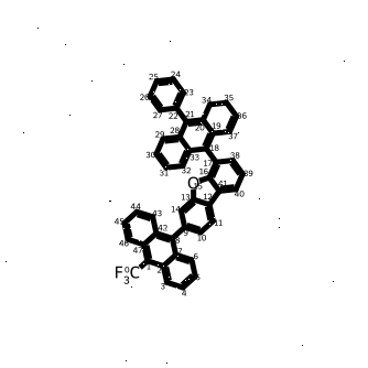 FC(F)(F)c1c2ccccc2c(-c2ccc3c(c2)oc2c(-c4c5c(c(-c6ccccc6)c6ccccc46)CCC=C5)cccc23)c2ccccc12